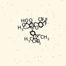 CCc1c(C(=O)O)c(=O)n(Cc2cccc(C(F)(F)F)c2Cl)c(=O)n1-c1ccc2c(c1)N(CC)C(=O)C2(C)C